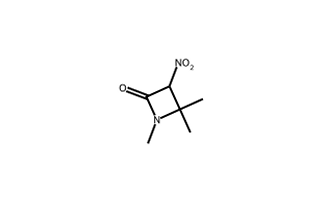 CN1C(=O)C([N+](=O)[O-])C1(C)C